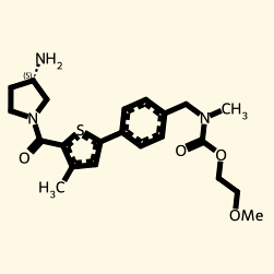 COCCOC(=O)N(C)Cc1ccc(-c2cc(C)c(C(=O)N3CC[C@H](N)C3)s2)cc1